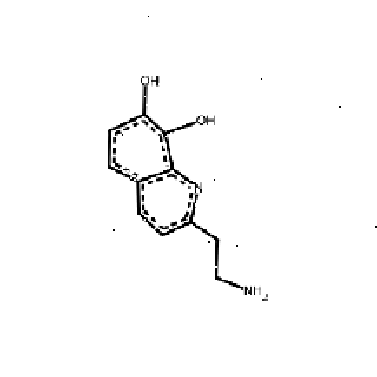 NCCc1ccc2ccc(O)c(O)c2n1